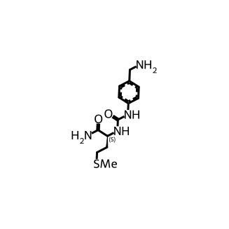 CSCC[C@H](NC(=O)Nc1ccc(CN)cc1)C(N)=O